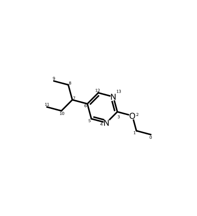 CCOc1ncc(C(CC)CC)cn1